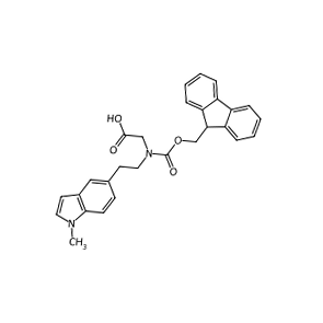 Cn1ccc2cc(CCN(CC(=O)O)C(=O)OCC3c4ccccc4-c4ccccc43)ccc21